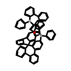 c1ccc(N(c2ccc3c(c2)-c2ccccc2-c2ccccc2N3c2ccccc2)c2ccc3c(c2)C2(c4ccccc4-c4ccccc4-3)c3ccccc3-c3cc4c(cc32)oc2ccccc24)cc1